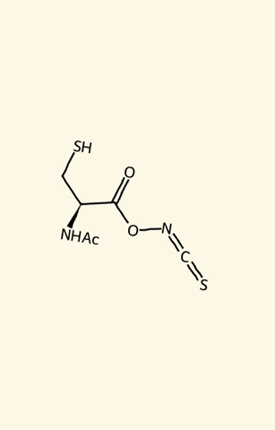 CC(=O)N[C@@H](CS)C(=O)ON=C=S